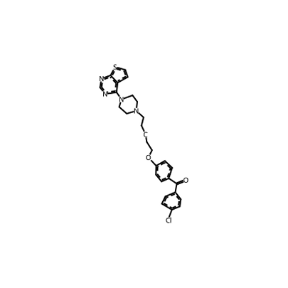 O=C(c1ccc(Cl)cc1)c1ccc(OCCCCCN2CCN(c3ncnc4sccc34)CC2)cc1